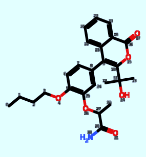 CCCCOc1ccc(-c2c(C(C)(C)O)oc(=O)c3ccccc23)cc1OC(C)C(N)=O